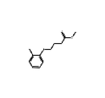 COC(=O)CCCSc1ccccc1C